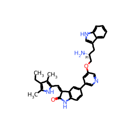 CCc1c(C)[nH]c(C=C2C(=O)Nc3ccc(-c4cncc(OC[C@H](N)Cc5c[nH]c6ccccc56)c4)cc32)c1C